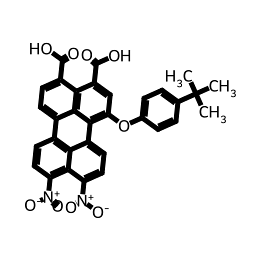 CC(C)(C)c1ccc(Oc2cc(C(=O)O)c3c(C(=O)O)ccc4c5ccc([N+](=O)[O-])c6c([N+](=O)[O-])ccc(c2c34)c65)cc1